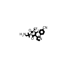 Cc1c(-c2ccnn2-c2ccc(C#N)cc2)c(=O)n(C(C)(C)CN)c(=O)n1C(F)(F)F